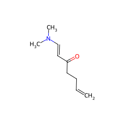 C=CCCC(=O)C=CN(C)C